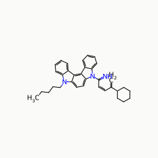 C=C(/C=C\C(=N)n1c2ccccc2c2c3c4ccccc4n(CCCCC)c3ccc21)C1CCCCC1